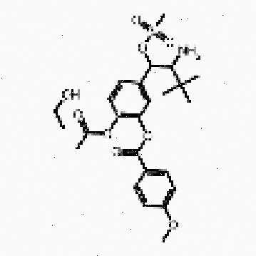 CCO.COc1ccc(C(=O)Oc2cc(C(OS(C)(=O)=O)C(N)C(C)(C)C)ccc2OC(C)=O)cc1